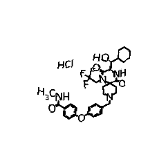 CNC(=O)c1ccc(Oc2ccc(CN3CCC4(CC3)C(=O)N[C@H]([C@H](O)C3CCCCC3)C(=O)N4CC(F)(F)F)cc2)cc1.Cl